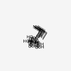 N.N.N.N.N.N.N.N.N.N.N.N.O=P(O)(O)OP(=O)(O)OP(=O)(O)OP(=O)(O)OP(=O)(O)OP(=O)(O)O